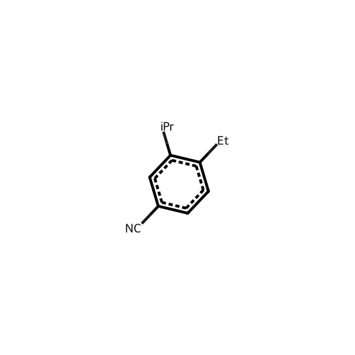 CCc1ccc(C#N)cc1C(C)C